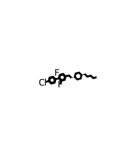 CCCCC[C@H]1CC[C@H](CCc2cc(F)c(-c3ccc(Cl)cc3)c(F)c2)CC1